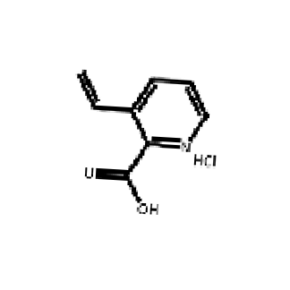 C=Cc1cccnc1C(=O)O.Cl